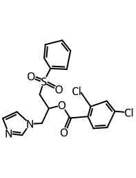 O=C(OC(Cn1ccnc1)CS(=O)(=O)c1ccccc1)c1ccc(Cl)cc1Cl